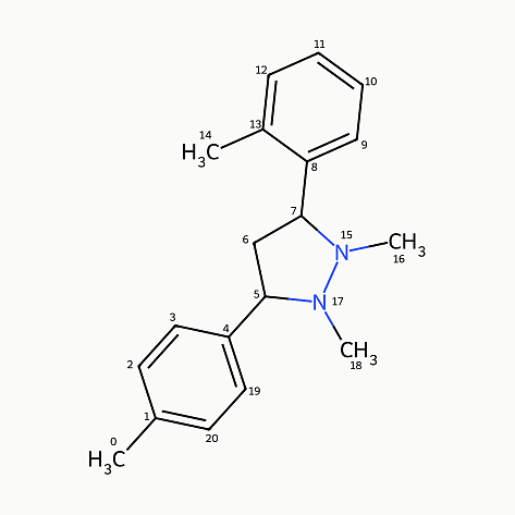 Cc1ccc(C2CC(c3ccccc3C)N(C)N2C)cc1